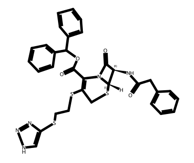 O=C(Cc1ccccc1)N[C@@H]1C(=O)N2C(C(=O)OC(c3ccccc3)c3ccccc3)=C(SCCSc3c[nH]nn3)CS[C@@H]12